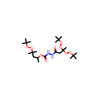 CC(CC(C)(C)OOC(C)(C)C)OC(=O)NNC(=O)CC(C)(OOC(C)(C)C)OOC(C)(C)C